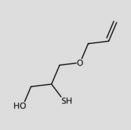 C=CCOCC(S)CO